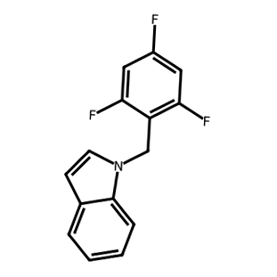 Fc1cc(F)c(Cn2ccc3ccccc32)c(F)c1